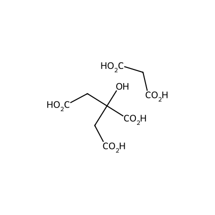 O=C(O)CC(=O)O.O=C(O)CC(O)(CC(=O)O)C(=O)O